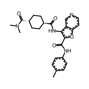 Cc1ccc(NC(=O)c2oc3ccncc3c2NC(=O)[C@H]2CC[C@H](C(=O)N(C)C)CC2)cc1